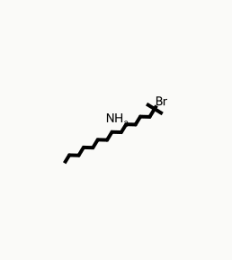 CCCCCCCCCCCCCC(C)(C)Br.N